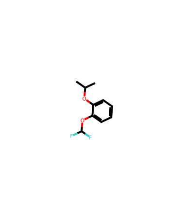 CC(C)Oc1ccccc1OC(F)F